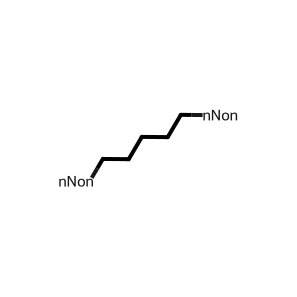 CCCCC[CH]CCCCCCCCCCCCCCCCC